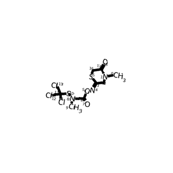 CN1CC(=NOC(=O)N(C)SC(Cl)(Cl)Cl)SCC1=O